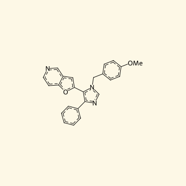 COc1ccc(Cn2cnc(-c3ccccc3)c2-c2cc3cnccc3o2)cc1